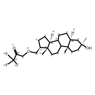 C[C@]1(O)CC[C@]2(C)C3CC[C@]4(C)[C@@H](COCC(=O)C(F)(F)F)CC[C@H]4C3CC[C@H]2C1